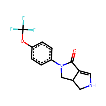 O=C1C2=CNCC2CN1c1ccc(OC(F)(F)F)cc1